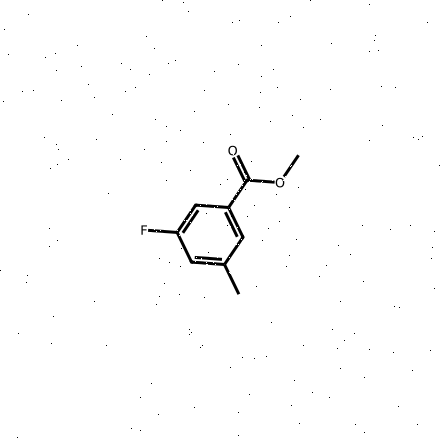 COC(=O)c1cc(C)cc(F)c1